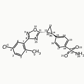 Cc1ccc(Cl)cc1-c1noc([C@@H]2C[C@H]2c2ccc(S(N)(=O)=O)cc2)n1